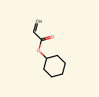 [CH]=CC(=O)OC1CCCCC1